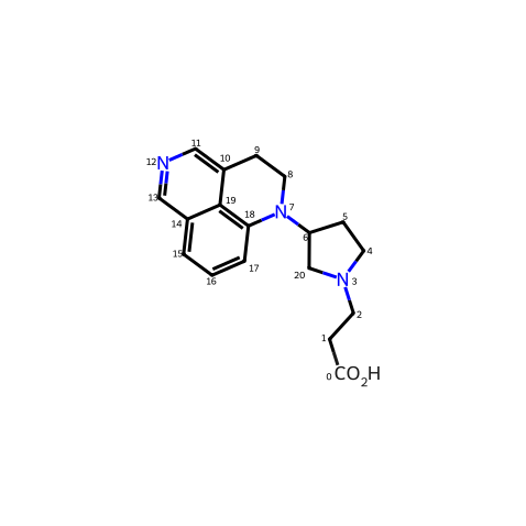 O=C(O)CCN1CCC(N2CCc3cncc4cccc2c34)C1